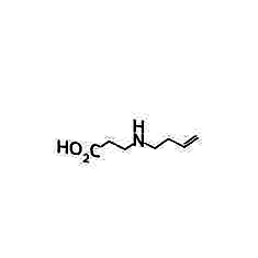 C=CCCNCCC(=O)O